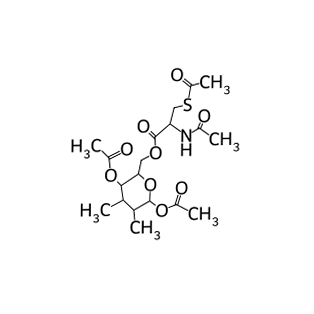 CC(=O)NC(CSC(C)=O)C(=O)OCC1OC(OC(C)=O)C(C)C(C)C1OC(C)=O